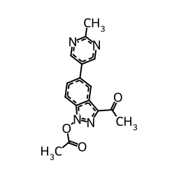 CC(=O)On1nc(C(C)=O)c2cc(-c3cnc(C)nc3)ccc21